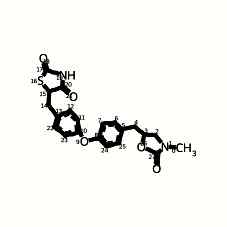 CN1CC(Cc2ccc(Oc3ccc(CC4SC(=O)NC4=O)cc3)cc2)OC1=O